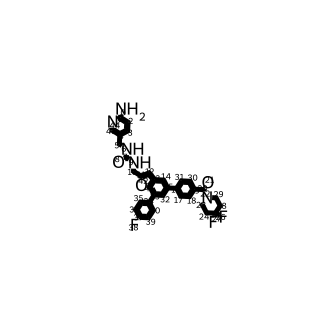 Nc1ccc(CNC(=O)NCc2cc3cc(-c4ccc(C(=O)N5CCC(F)(F)CC5)cc4)cc(-c4ccc(F)cc4)c3o2)cn1